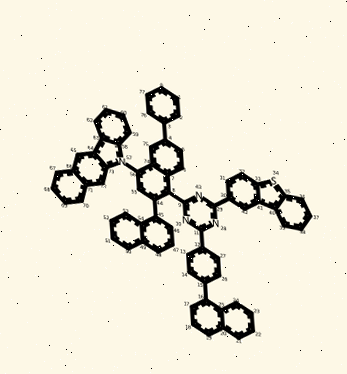 c1ccc(-c2ccc3c(-c4nc(-c5ccc(-c6cccc7ccccc67)cc5)nc(-c5ccc6sc7ccccc7c6c5)n4)c(-c4cccc5ccccc45)cc(-n4c5ccccc5c5cc6ccccc6cc54)c3c2)cc1